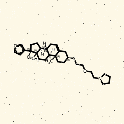 C[C@]12CC[C@H](SCCOCCN3CCCC3)CC1=CC[C@@H]1[C@@H]2CC[C@@]2(C)[C@H]1CC[C@@]2(O)c1ccoc1